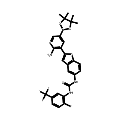 CC1(C)OB(c2cnc(N)c(-c3cc4cc(NC(=O)Nc5cc(C(F)(F)F)ccc5F)ccc4s3)c2)OC1(C)C